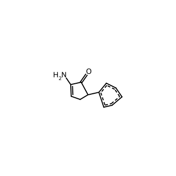 NC1=CCC(c2ccccc2)C1=O